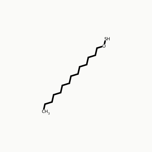 CCCCCCCCCCCCCCOS